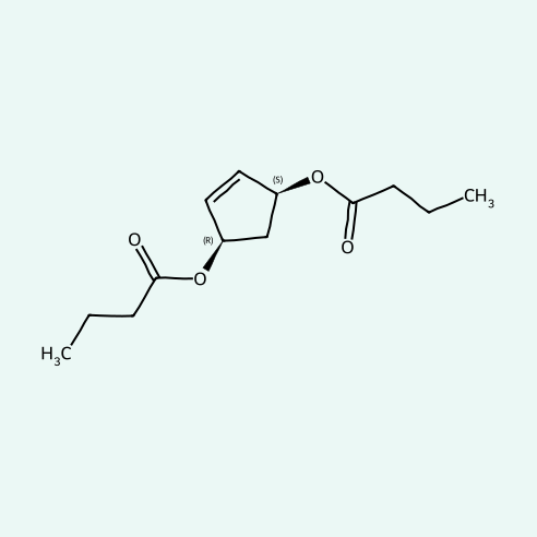 CCCC(=O)O[C@@H]1C=C[C@H](OC(=O)CCC)C1